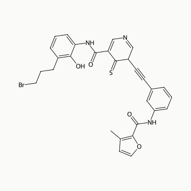 Cc1ccoc1C(=O)Nc1cccc(C#CC2C=NC=C(C(=O)Nc3cccc(CCCBr)c3O)C2=S)c1